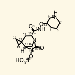 O=C(NOC1CCCNC1)[C@@H]1CC2(CC2)[C@@H]2CN1C(=O)N2OS(=O)(=O)O